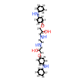 OC(CNCCNCC(O)COc1ccc(Nc2ccccc2)cc1)COc1ccc(Nc2ccccc2)cc1